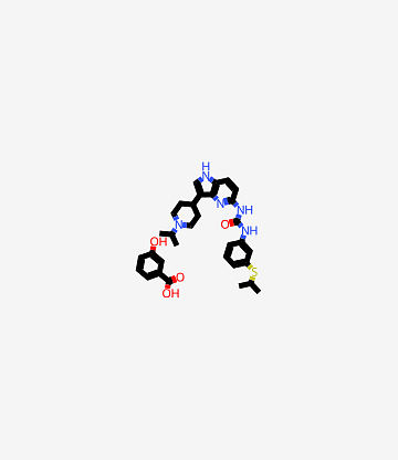 CC(C)Sc1cccc(NC(=O)Nc2ccc3[nH]cc(C4CCN(C(C)C)CC4)c3n2)c1.O=C(O)c1cccc(O)c1